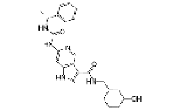 C[C@@H](NC(=O)Nc1cc2[nH]nc(C(=O)NCC3CCCC(O)C3)c2cn1)c1ccccc1